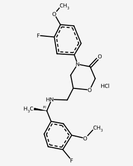 COc1ccc(N2CC(CN[C@H](C)c3ccc(F)c(OC)c3)OCC2=O)cc1F.Cl